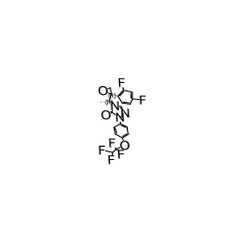 C[C@@H](n1cnn(-c2ccc(OC(F)(F)C(F)F)cc2)c1=O)[C@]1(c2ccc(F)cc2F)CO1